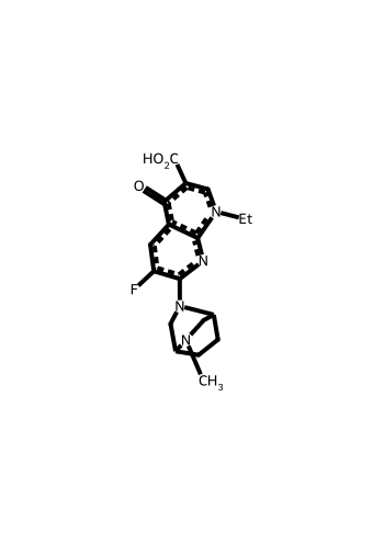 CCn1cc(C(=O)O)c(=O)c2cc(F)c(N3CC4CCC3CN4C)nc21